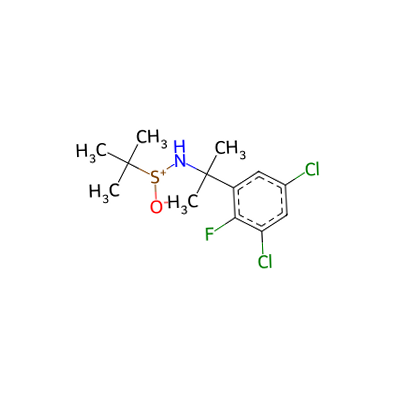 CC(C)(N[S+]([O-])C(C)(C)C)c1cc(Cl)cc(Cl)c1F